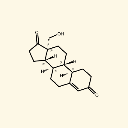 O=C1C=C2CC[C@@H]3[C@H](CC[C@]4(CO)C(=O)CC[C@@H]34)[C@H]2CC1